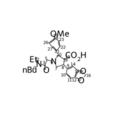 CCCCN(CC)C(=O)CN1CC(c2ccc3c(c2)OCO3)[C@H](C(=O)O)[C@H]1c1ccc(OC)cc1